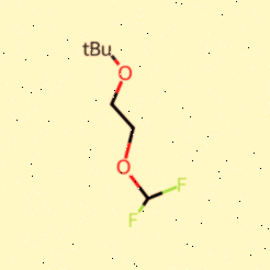 CC(C)(C)OCCOC(F)F